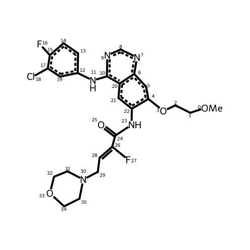 COCCOc1cc2ncnc(Nc3ccc(F)c(Cl)c3)c2cc1NC(=O)/C(F)=C/CN1CCOCC1